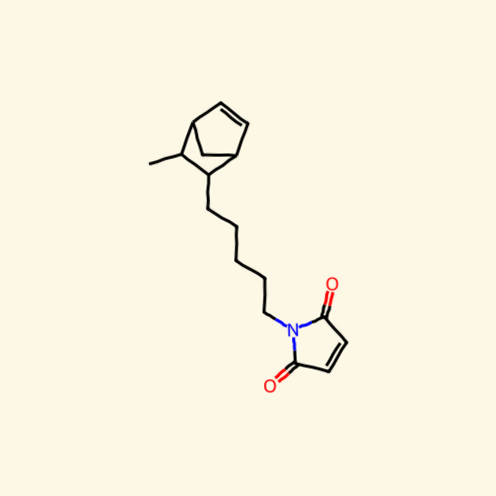 CC1C2C=CC(C2)C1CCCCCN1C(=O)C=CC1=O